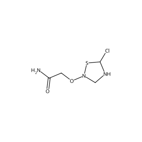 NC(=O)CON1CNC(Cl)S1